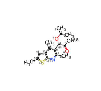 C=C(C)O[C@H](C(=O)OC)c1c(C)nc2sc(C)cc2c1C